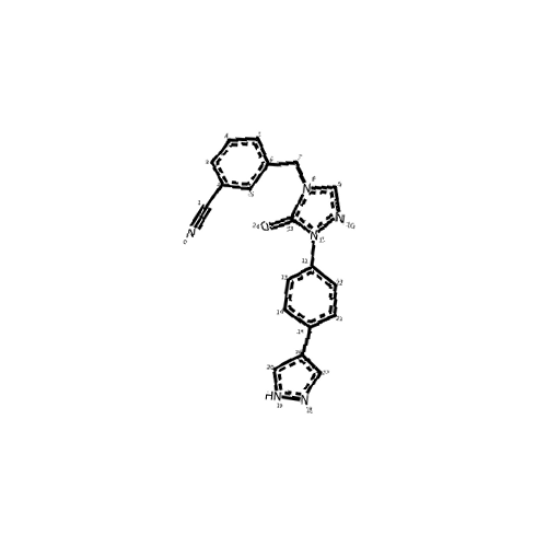 N#Cc1cccc(Cn2cnn(-c3ccc(-c4cn[nH]c4)cc3)c2=O)c1